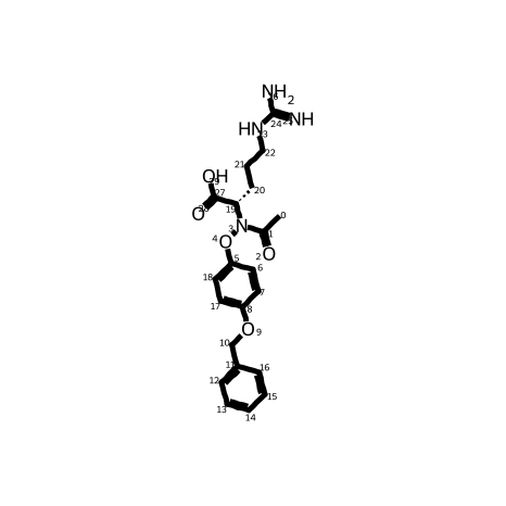 CC(=O)N(Oc1ccc(OCc2ccccc2)cc1)[C@@H](CCCNC(=N)N)C(=O)O